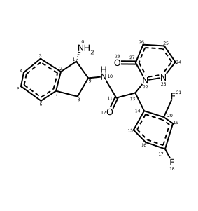 N[C@H]1c2ccccc2CC1NC(=O)C(c1ccc(F)cc1F)n1ncccc1=O